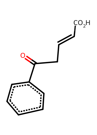 O=C(O)/C=C/CC(=O)c1ccccc1